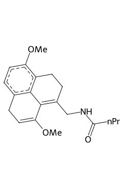 CCCC(=O)NCC1=C2C(OC)=CCc3ccc(OC)c(c32)CC1